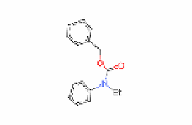 [CH2]CN(C(=O)OCc1ccccc1)c1ccccc1